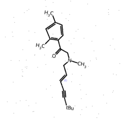 Cc1ccc(C(=O)CN(C)C/C=C/C#CC(C)(C)C)c(C)c1